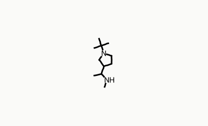 CNC(C)C1CCN(C(C)(C)C)C1